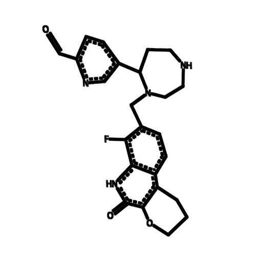 O=Cc1ccc(C2CCNCCN2Cc2ccc3c4c(c(=O)[nH]c3c2F)OCCC4)cn1